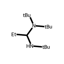 CCC(NC(C)(C)C)N(C(C)(C)C)C(C)(C)C